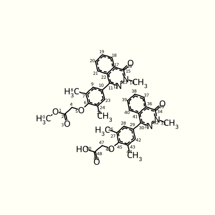 COC(=O)COc1c(C)cc(-c2nn(C)c(=O)c3ccccc23)cc1C.Cc1cc(-c2nn(C)c(=O)c3ccccc23)cc(C)c1OCC(=O)O